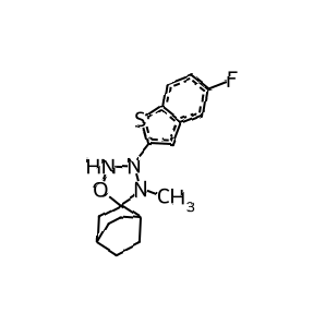 CN1N(c2cc3cc(F)ccc3s2)NOC12CC1CCC2CC1